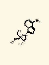 C[C@H]1C[C@H](c2ccc3c(N)ncnn23)O[C@]1(C=NO)CO